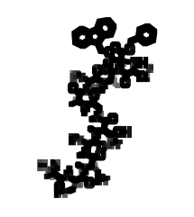 CCC(N)C(=O)N(C(=O)[C@H](C)N(C)C(=O)[C@@H](NC(=O)[C@H](C)N(C)C(=O)CN(C)C(=O)C([C@H](O)C(C)C)N(C)C(=O)[C@H](C(C)C)N(C)C(=O)[C@H](CC(C)C)N(C)C(=O)[C@H](CC(C)C)N(C)C(=O)[C@@H](C)N)C(C)C)[C@@](C)(C(=O)OCc1ccccc1)C(=O)OCC1c2ccccc2-c2ccccc21